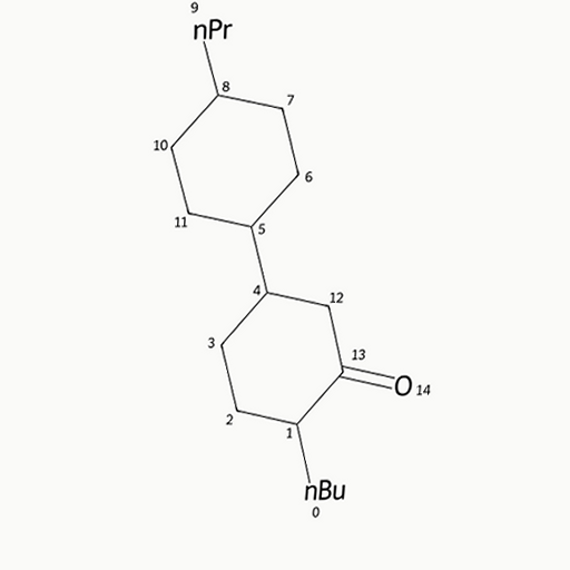 CCCCC1CCC(C2CCC(CCC)CC2)CC1=O